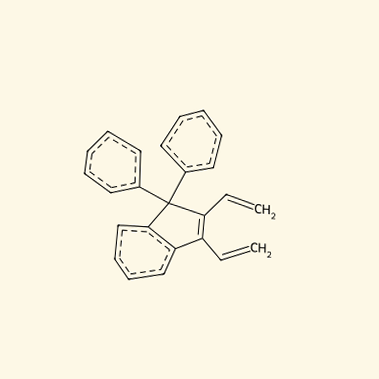 C=CC1=C(C=C)C(c2ccccc2)(c2ccccc2)c2ccccc21